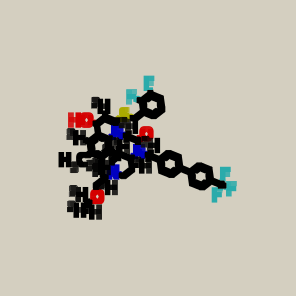 [2H]C1=C(SCc2cccc(F)c2F)N(C([2H])([2H])C(=O)N(C2CCN(C([2H])([2H])COC([2H])([2H])[2H])CC2)C([2H])([2H])c2ccc(-c3ccc(C(F)(F)F)cc3)cc2)c2c([2H])c([2H])c(C)c([2H])c2C1O